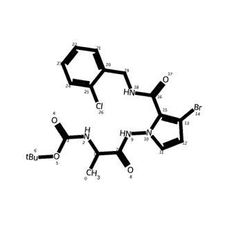 CC(NC(=O)OC(C)(C)C)C(=O)Nn1ccc(Br)c1C(=O)NCc1ccccc1Cl